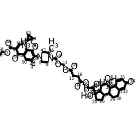 COc1c(N2CCN(C(=O)OCOC(=O)CCC(=O)OCC(=O)[C@@]3(O)CCC4C5CCC6=CC(=O)C=C[C@]6(C)C5[C@@H](O)C[C@@]43C)C(C)C2)c(F)cc2c(=O)c(C(=O)OCCl)cn(C3CC3)c12